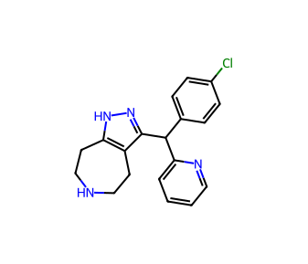 Clc1ccc(C(c2ccccn2)c2n[nH]c3c2CCNCC3)cc1